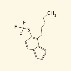 CCCCCc1c(SC(F)(F)F)ccc2ccccc12